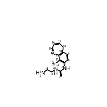 C=C(NCCN)Nc1ccc2c(c1Br)N=CC=CC2